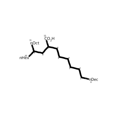 CCCCCCCCCCCCCCCCC(CC(CCCCCC)CCCCCCCC)C(=O)O